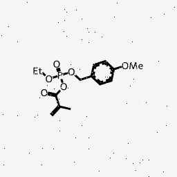 C=C(C)C(=O)OP(=O)(OCC)OCc1ccc(OC)cc1